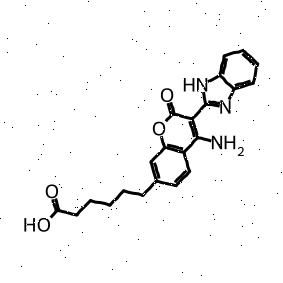 Nc1c(-c2nc3ccccc3[nH]2)c(=O)oc2cc(CCCCCC(=O)O)ccc12